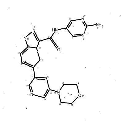 Nc1ncc(NC(=O)C2=NNC3=CC=C(c4cncc(N5CCOCC5)c4)CC32)cn1